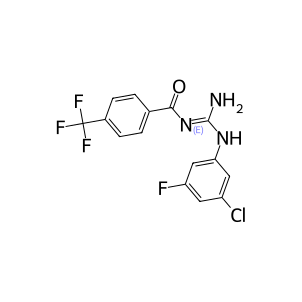 N/C(=N\C(=O)c1ccc(C(F)(F)F)cc1)Nc1cc(F)cc(Cl)c1